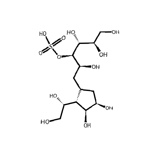 O=S(=O)(O)O[C@@H]([C@H](O)[C@H](O)CO)[C@@H](O)CC1C[C@@H](O)[C@@H](O)[C@@H]1[C@@H](O)CO